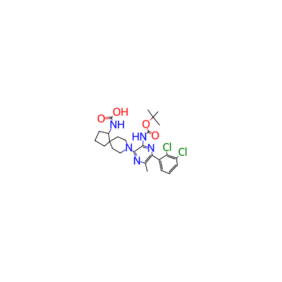 Cc1nc(N2CCC3(CCCC3NC(=O)O)CC2)c(NC(=O)OC(C)(C)C)nc1-c1cccc(Cl)c1Cl